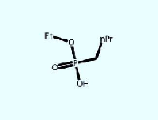 [CH2]CCCP(=O)(O)OCC